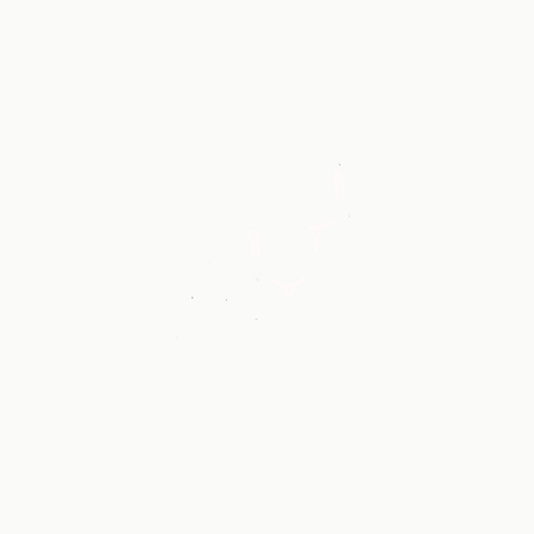 CC(OC=O)OC(=O)C1(C)CCCCC1